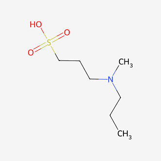 CCCN(C)CCCS(=O)(=O)O